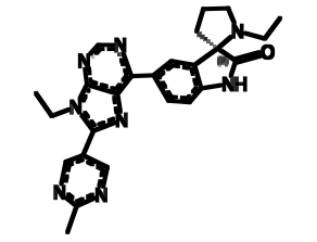 CCN1CCC[C@@]12C(=O)Nc1ccc(-c3ncnc4c3nc(-c3cnc(C)nc3)n4CC)cc12